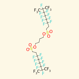 O=S(=O)(CCC(F)(F)C(F)(F)C(F)(F)C(F)(F)C(F)(C(F)(F)F)C(F)(F)F)OCCCCOS(=O)(=O)CCC(F)(F)C(F)(F)C(F)(F)C(F)(F)C(F)(C(F)(F)F)C(F)(F)F